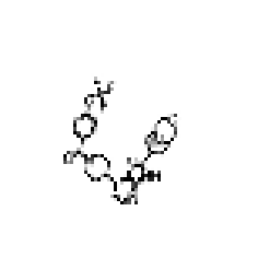 O=C(c1ccc(OC(F)(F)F)cc1)N1CCC(c2ccnc3[nH]c(C4CC5COCC(C4)N5)nc23)CC1